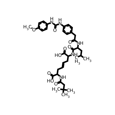 COc1ccc(NC(=O)Nc2ccc(CC(=O)NC(CC(C)C)C(=O)NC(CC=CCC(NC(=O)CC(C)(C)C)C(=O)O)C(=O)O)cc2)cc1